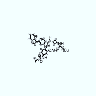 COc1cc(NS(=O)(=O)C2CC2)ccc1-n1nc(N[C@H]2C[C@@H](NC(=O)OC(C)(C)C)C2)c2cnc(-c3cnn4cccnc34)cc21